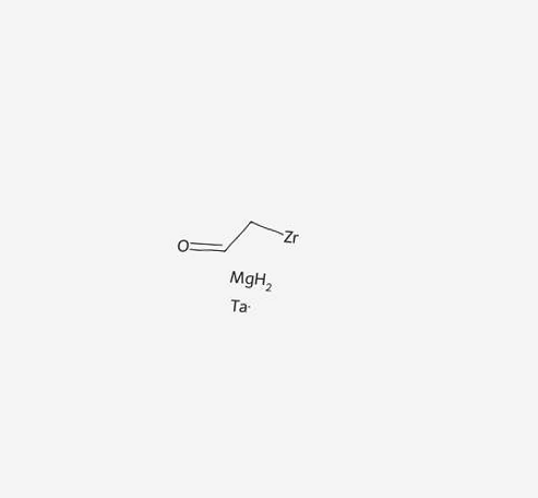 O=C[CH2][Zr].[MgH2].[Ta]